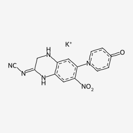 N#CN=C1CNc2cc(-n3ccc(=O)cc3)c([N+](=O)[O-])cc2N1.[K+]